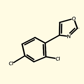 Clc1ccc(-c2co[c]n2)c(Cl)c1